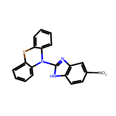 O=[N+]([O-])c1ccc2[nH]c(N3c4ccccc4Sc4ccccc43)nc2c1